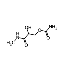 CNC(=O)C(O)COC(N)=O